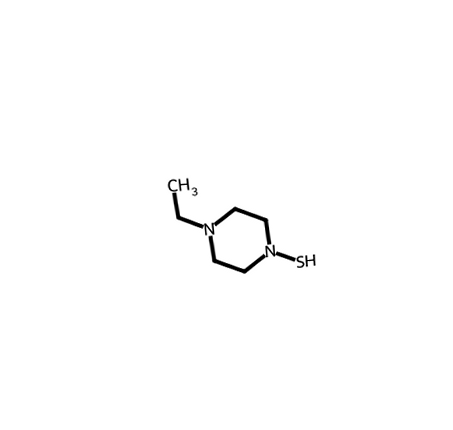 CCN1CCN(S)CC1